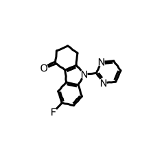 O=C1CCCc2c1c1cc(F)ccc1n2-c1ncccn1